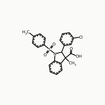 Cc1ccc(S(=O)(=O)N2c3ccccc3C(C)(C(=O)O)C2c2cccc(Cl)c2)cc1